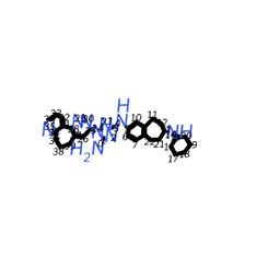 Nc1nc(Nc2ccc3c(c2)CC[C@@H](NC2CCCCC2)CC3)nn1-c1cc2c(nn1)-c1cccnc1CCC2